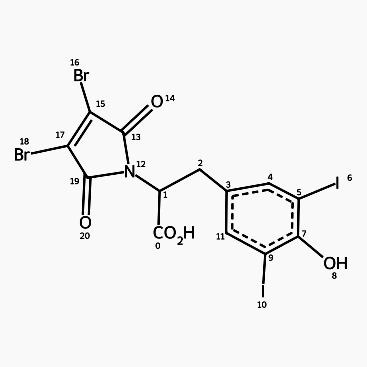 O=C(O)C(Cc1cc(I)c(O)c(I)c1)N1C(=O)C(Br)=C(Br)C1=O